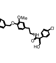 COc1cc(CCNC(=O)/C(=C\O)c2ccc(Cl)cc2)ccc1OCc1ccccc1